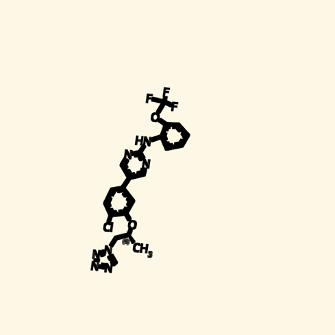 C[C@@H](Cn1cnnn1)Oc1cc(-c2cnc(Nc3ccccc3OC(F)(F)F)nc2)ccc1Cl